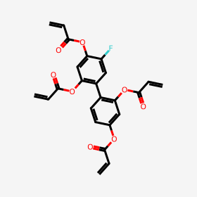 C=CC(=O)Oc1ccc(-c2cc(F)c(OC(=O)C=C)cc2OC(=O)C=C)c(OC(=O)C=C)c1